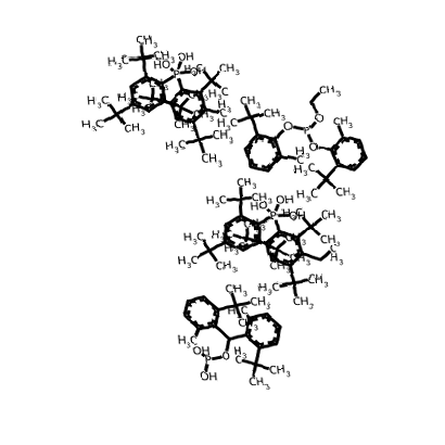 CCOP(Oc1c(C)cccc1C(C)(C)C)Oc1c(C)cccc1C(C)(C)C.CCc1c(C(C)(C)C)cc(C(C)(C)C)c(P(O)(O)(O)c2c(C(C)(C)C)cc(C(C)(C)C)cc2C(C)(C)C)c1C(C)(C)C.Cc1c(C(C)(C)C)cc(C(C)(C)C)c(P(O)(O)(O)c2c(C(C)(C)C)cc(C(C)(C)C)cc2C(C)(C)C)c1C(C)(C)C.Cc1cccc(C(C)(C)C)c1C(OP(O)O)c1c(C)cccc1C(C)(C)C